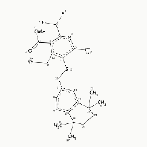 COC(=O)c1c(C(F)F)nc(C(F)(F)F)c(SCc2ccc3c(c2)C(C)(C)CCC3(C)C)c1CC(C)C